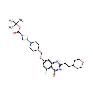 CC(C)(C)OC(=O)N1CC(N2CCC(COc3cc(F)c4c(=O)[nH]c(CCC5CCOCC5)nc4c3)CC2)C1